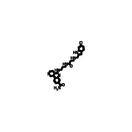 NC(=O)c1ccc2c(c1)nc(NCCCNC(=O)CCNCc1cc3ccc(Cl)cc3[nH]1)c1ccncc12